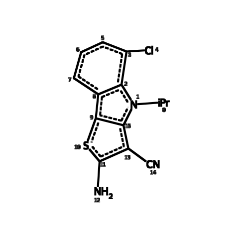 CC(C)n1c2c(Cl)cccc2c2sc(N)c(C#N)c21